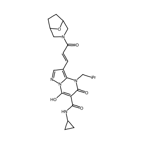 CC(C)Cn1c(=O)c(C(=O)NC2CC2)c(O)n2ncc(C=CC(=O)N3CC4CCC(C3)O4)c12